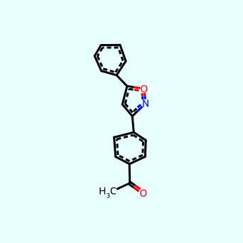 CC(=O)c1ccc(-c2cc(-c3ccccc3)on2)cc1